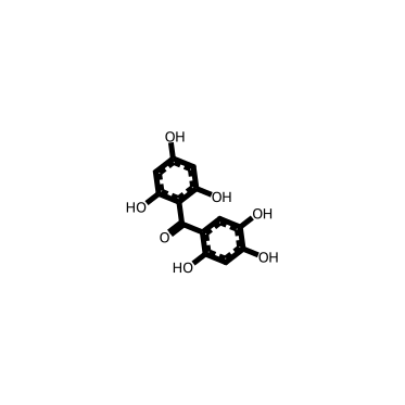 O=C(c1cc(O)c(O)cc1O)c1c(O)cc(O)cc1O